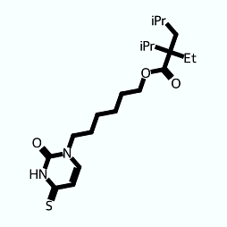 CCC(CC(C)C)(C(=O)OCCCCCCn1ccc(=S)[nH]c1=O)C(C)C